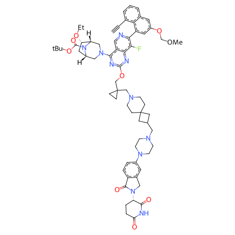 C#Cc1cccc2cc(OCOC)cc(-c3ncc4c(N5C[C@@H]6C[C@H](OCC)[C@H](C5)N6C(=O)OC(C)(C)C)nc(OCC5(CN6CCC7(CC6)CC(CN6CCN(c8ccc9c(c8)CN([C@H]8CCC(=O)NC8=O)C9=O)CC6)C7)CC5)nc4c3F)c12